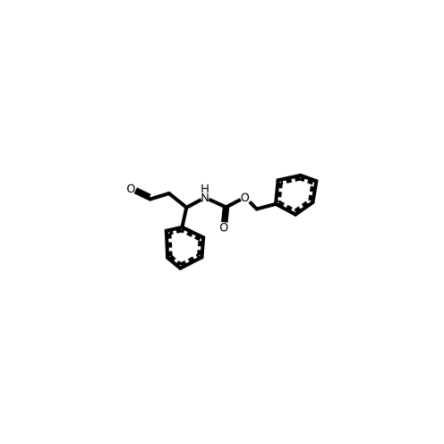 O=CCC(NC(=O)OCc1ccccc1)c1ccccc1